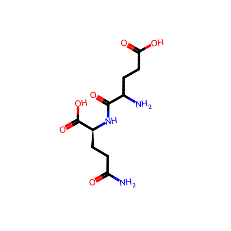 NC(=O)CC[C@H](NC(=O)C(N)CCC(=O)O)C(=O)O